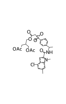 CC(=O)OCC(COC(C)=O)COC(=O)CS(=O)(=O)c1ccc(C(C)NC(=O)c2cc3c(Cl)cc(C)cc3n2C)cc1